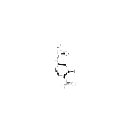 O=C(Cl)c1ccc(C[SH](=O)=O)cc1Cl